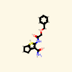 NC(=O)c1c(NC(=O)COCc2ccccc2)sc2c1CCC2